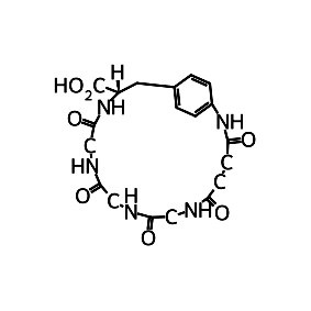 O=C1CCC(=O)Nc2ccc(cc2)C[C@@H](C(=O)O)NC(=O)CNC(=O)CNC(=O)CN1